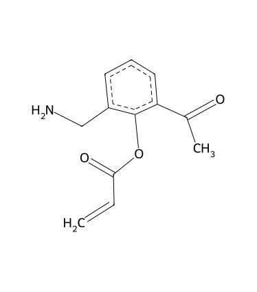 C=CC(=O)Oc1c(CN)cccc1C(C)=O